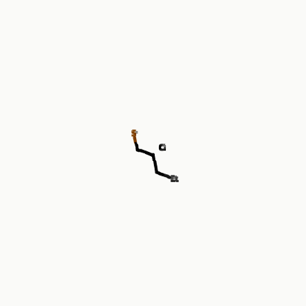 CCCCC[S].[C]